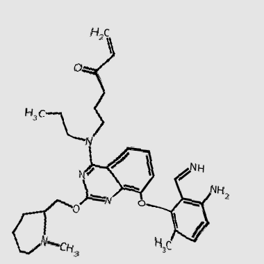 C=CC(=O)CCCN(CCC)c1nc(OCC2CCCCN2C)nc2c(Oc3c(C)ccc(N)c3C=N)cccc12